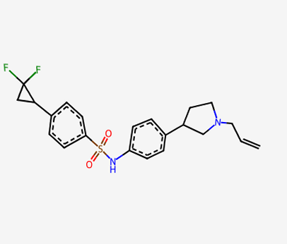 C=CCN1CCC(c2ccc(NS(=O)(=O)c3ccc(C4CC4(F)F)cc3)cc2)C1